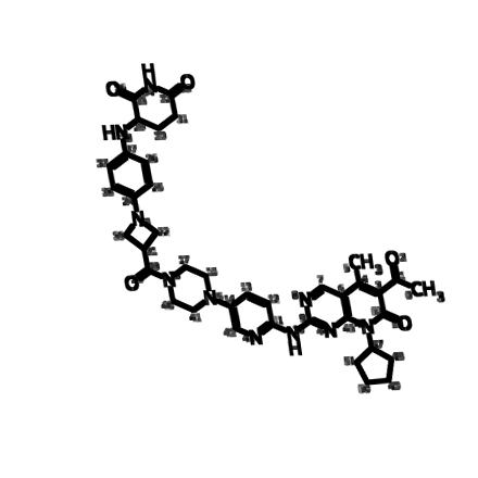 CC(=O)c1c(C)c2cnc(Nc3ccc(N4CCN(C(=O)C5CN(c6ccc(NC7CCC(=O)NC7=O)cc6)C5)CC4)cn3)nc2n(C2CCCC2)c1=O